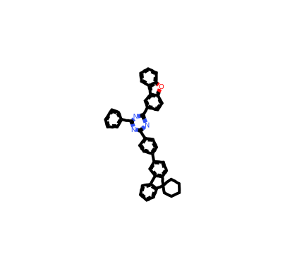 c1ccc(-c2nc(-c3ccc(-c4ccc5c(c4)-c4ccccc4C54CCCCC4)cc3)nc(-c3ccc4oc5ccccc5c4c3)n2)cc1